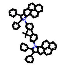 CC1(C)c2cc(-n3c(-c4ccccc4)c(-c4ccccc4)c4cc5ccc6cccc7ccc(c5c67)c43)ccc2-c2ccc(-n3c(-c4ccccc4)c(-c4ccccc4)c4cc5ccc6cccc7ccc(c5c67)c43)cc21